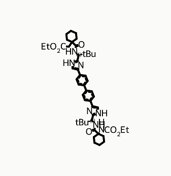 CCOC(=O)CC1(C(=O)N[C@H](c2nc(-c3ccc(-c4ccc(-c5c[nH]c([C@@H](NC(=O)C6(NC(=O)OCC)CCCCC6)C(C)(C)C)n5)cc4)cc3)c[nH]2)C(C)(C)C)CCCCC1